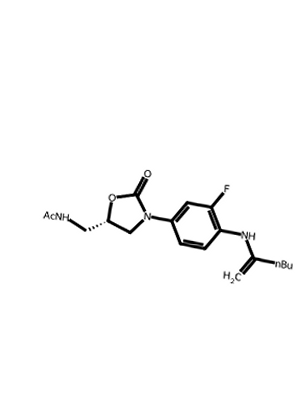 C=C(CCCC)Nc1ccc(N2C[C@H](CNC(C)=O)OC2=O)cc1F